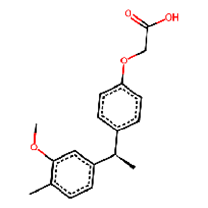 COc1cc([C@H](C)c2ccc(OCC(=O)O)cc2)ccc1C